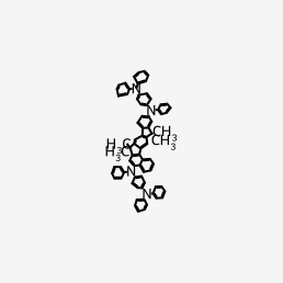 CC1(C)c2cc(N(c3ccccc3)c3ccc(N(c4ccccc4)c4ccccc4)cc3)ccc2-c2cc3c(cc21)-c1c(cc(N(c2ccccc2)c2ccc(N(c4ccccc4)c4ccccc4)cc2)c2ccccc12)C3(C)C